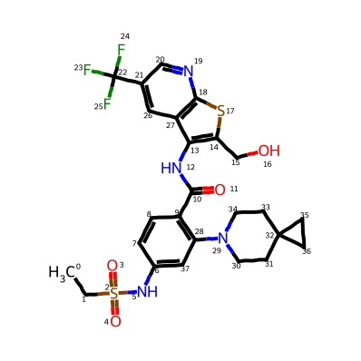 CCS(=O)(=O)Nc1ccc(C(=O)Nc2c(CO)sc3ncc(C(F)(F)F)cc23)c(N2CCC3(CC2)CC3)c1